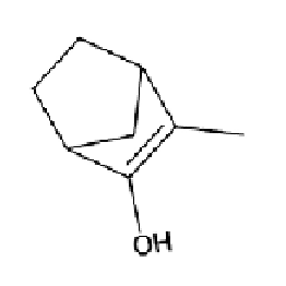 CC1=C(O)C2CCC1C2